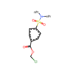 CCCN(CCC)S(=O)(=O)c1ccc(C(=O)OCCl)cc1